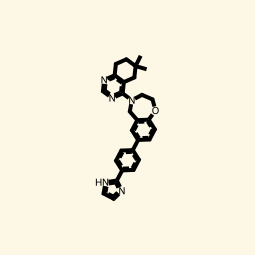 CC1(C)CCc2ncnc(N3CCOc4ccc(-c5ccc(-c6ncc[nH]6)cc5)cc4C3)c2C1